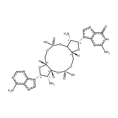 Nc1nc2c(ncn2[C@@H]2O[C@@H]3COP(=O)(S)O[C@@H]4[C@H](N)[C@H](n5cnc6c(N)ncnc65)O[C@@H]4COP(=O)(S)OC3[C@@H]2N)c(=O)[nH]1